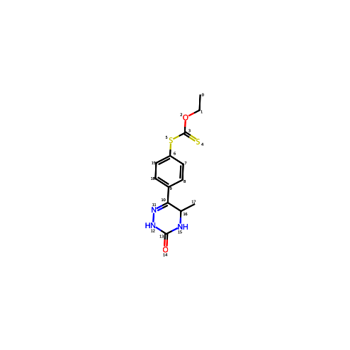 CCOC(=S)Sc1ccc(C2=NNC(=O)NC2C)cc1